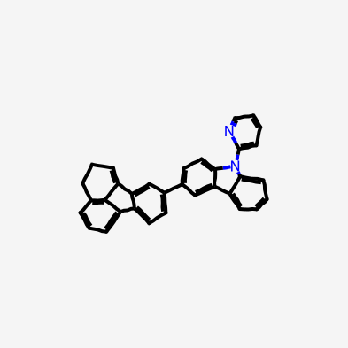 C1=C2c3cc(-c4ccc5c(c4)c4ccccc4n5-c4ccccn4)ccc3-c3cccc(c32)CC1